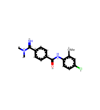 COc1cc(Cl)ccc1NC(=O)c1ccc(C(=N)N(C)C)cc1